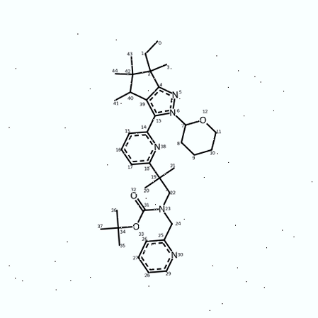 CCC1(C)c2nn(C3CCCCO3)c(-c3cccc(C(C)(C)CN(Cc4ccccn4)C(=O)OC(C)(C)C)n3)c2C(C)C1(C)C